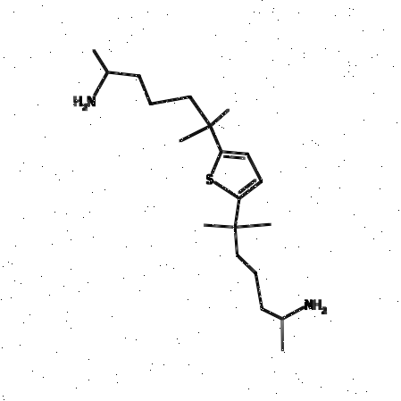 CC(N)CCCC(C)(C)c1ccc(C(C)(C)CCCC(C)N)s1